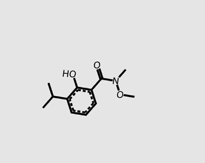 CON(C)C(=O)c1cccc(C(C)C)c1O